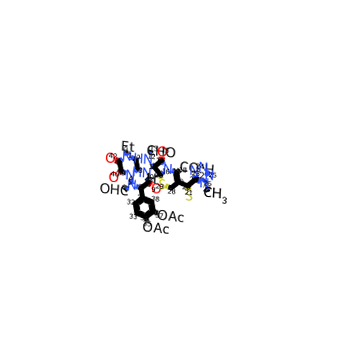 CCN1CCN(N(C=O)C(C(=O)N[C@]2(NC=O)C(=O)N3C(C(=O)O)=C(C(=S)c4nnnn4C)CS[C@H]32)c2ccc(OC(C)=O)c(OC(C)=O)c2)C(=O)C1=O